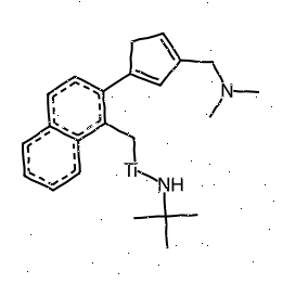 CN(C)CC1=CCC(c2ccc3ccccc3c2[CH2][Ti][NH]C(C)(C)C)=C1